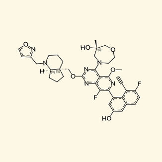 C#Cc1c(F)ccc2cc(O)cc(-c3nc(OC)c4c(N5CCOC[C@@](C)(O)C5)nc(OC[C@]56CCC[C@H]5N(Cc5ccon5)CCC6)nc4c3F)c12